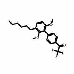 CCCCCCc1ccc(OC)c(-c2ccc(C(=O)C(F)(F)F)cc2)c1OC